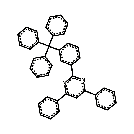 c1ccc(-c2cc(-c3ccccc3)nc(-c3cccc(C(c4ccccc4)(c4ccccc4)c4ccccc4)c3)n2)cc1